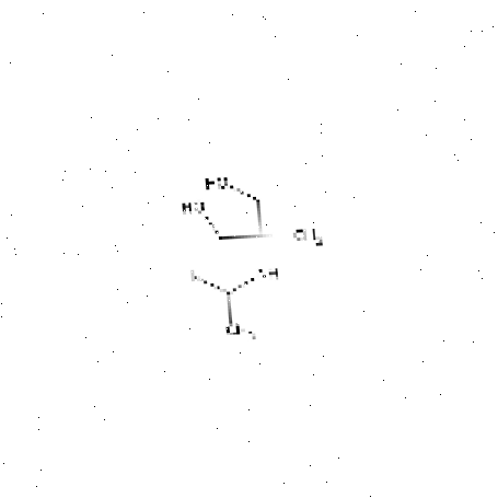 CC(I)NC(C)(CO)CO